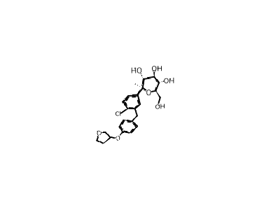 C[C@@]1(c2ccc(Cl)c(Cc3ccc(OC4CCOC4)cc3)c2)O[C@H](CO)[C@@H](O)[C@H](O)[C@H]1O